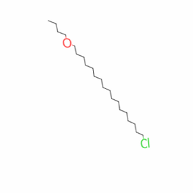 CCCCOCCCCCCCCCCCCCCCCCCl